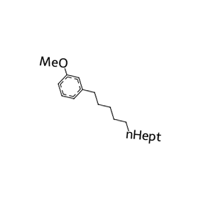 CCCCCCCCCCCCc1cccc(OC)c1